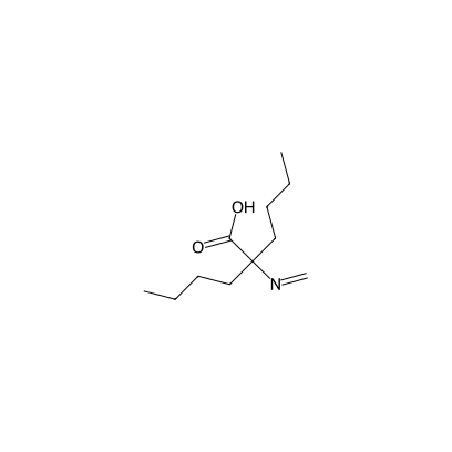 C=NC(CCCC)(CCCC)C(=O)O